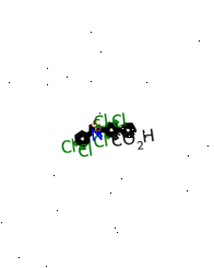 O=C(O)c1c(Cl)c(-c2nc(-c3ccc(Cl)c(Cl)c3)cs2)c(Cl)c(Cl)c1-c1ccccc1